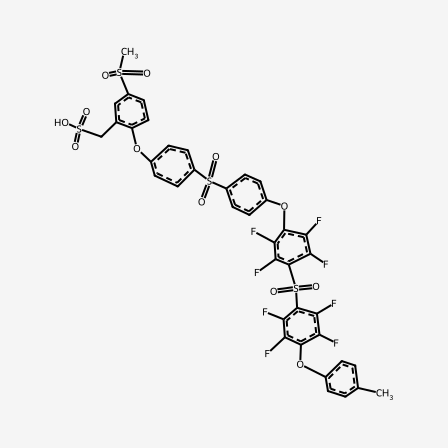 Cc1ccc(Oc2c(F)c(F)c(S(=O)(=O)c3c(F)c(F)c(Oc4ccc(S(=O)(=O)c5ccc(Oc6ccc(S(C)(=O)=O)cc6CS(=O)(=O)O)cc5)cc4)c(F)c3F)c(F)c2F)cc1